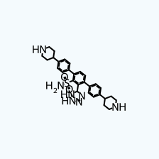 NS(=O)(=O)c1c(-c2ccc(C3CCNCC3)cc2)ccc(-c2ccc(C3CCNCC3)cc2)c1C1N=NNN1